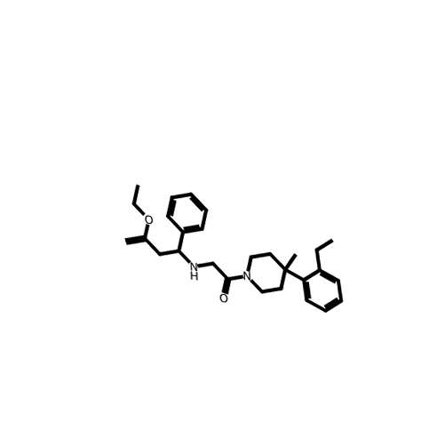 C=C(CC(NCC(=O)N1CCC(C)(c2ccccc2CC)CC1)c1ccccc1)OCC